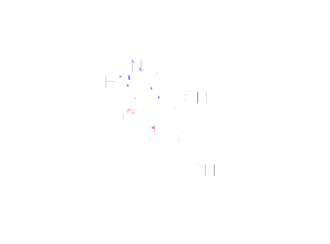 CCOC(=O)C(C)n1cn[nH]c1=O